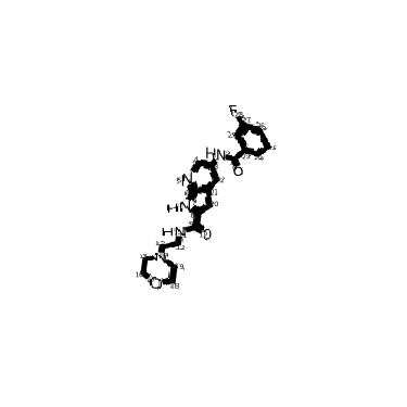 O=C(Nc1cnc2[nH]c(C(=O)NCCN3CCOCC3)cc2c1)c1cccc(F)c1